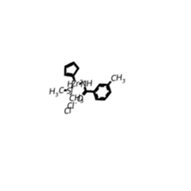 Cc1cccc(C(=O)[NH][Zr+2]([C]2=CC=CC2)[SiH](C)C)c1.[Cl-].[Cl-]